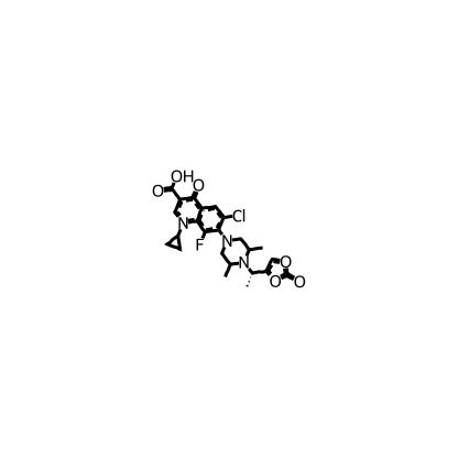 CC1CN(c2c(Cl)cc3c(=O)c(C(=O)O)cn(C4CC4)c3c2F)CC(C)N1[C@@H](C)c1coc(=O)o1